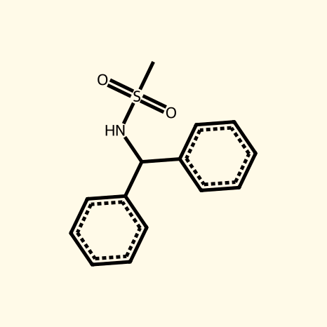 CS(=O)(=O)NC(c1ccccc1)c1ccccc1